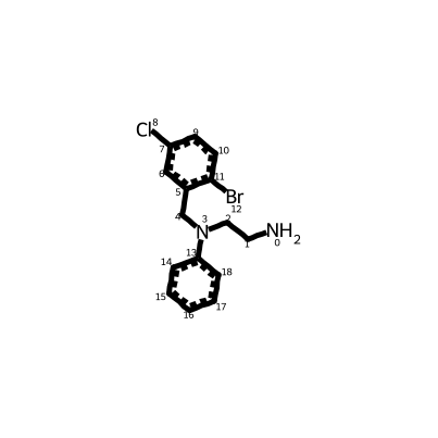 NCCN(Cc1cc(Cl)ccc1Br)c1ccccc1